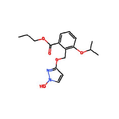 CCCOC(=O)c1cccc(OC(C)C)c1COc1ccn(O)n1